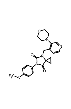 O=C1N(c2ccc(SC(F)(F)F)cc2)C(=O)C2(CC2)N1Cc1ccncc1N1CCOCC1